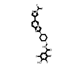 O=C(NC[C@H]1CC[C@H](c2cn3cc(-c4cnn(C(F)F)c4)ccc3n2)CC1)c1cc(F)c(O)c(F)c1F